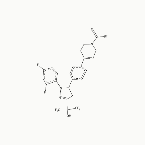 CC(C)C(=O)N1CC=C(c2ccc(C3CC(C(O)(C(F)(F)F)C(F)(F)F)=NN3c3ccc(F)cc3F)cc2)CC1